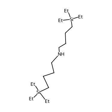 CC[Si](CC)(CC)CCCCNCCCC[Si](CC)(CC)CC